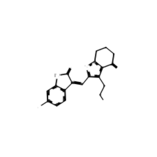 O=C(O)CCc1c(C=C2C(=S)Nc3cc(Br)ccc32)[nH]c2c1C(=O)CCC2